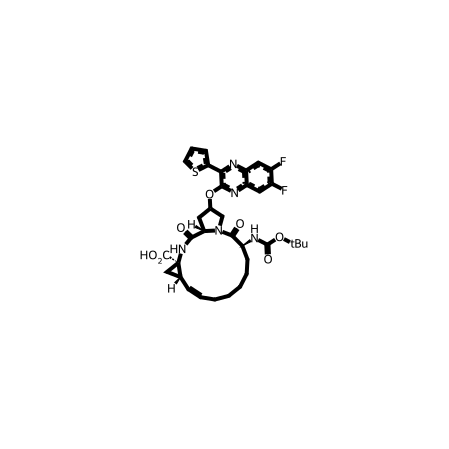 CC(C)(C)OC(=O)N[C@H]1CCCCC/C=C\[C@@H]2C[C@@]2(C(=O)O)NC(=O)[C@@H]2CC(Oc3nc4cc(F)c(F)cc4nc3-c3cccs3)CN2C1=O